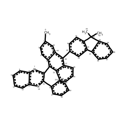 Cc1ccc2c(-c3nc4ccccc4nc3-c3ccccc3)c3ccccc3c(-c3ccc4c(c3)-c3ccccc3C4(C)C)c2c1